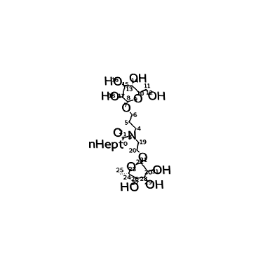 CCCCCCCC(=O)N(CCCO[C@H]1O[C@H](CO)[C@@H](O)[C@H](O)[C@@H]1O)CCO[C@@H]1O[C@@H](C)[C@@H](O)[C@@H](O)[C@@H]1O